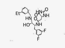 CCc1cccc(CNC[C@H](O)[C@H](Cc2cc(F)cc(F)c2)NC(=O)CC2NC(=O)NC2=O)c1